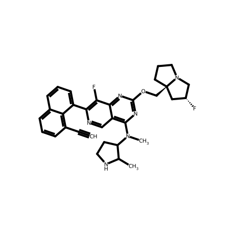 C#Cc1cccc2cccc(-c3ncc4c(N(C)C5CCNC5C)nc(OC[C@@]56CCCN5C[C@H](F)C6)nc4c3F)c12